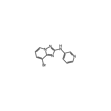 Brc1cccn2nc(Nc3cccnc3)nc12